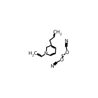 C=CCC1=CC=CN(C=C)C1.N#COSOC#N